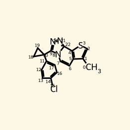 Cc1csc2c1ccn1c(C3(c4ccc(Cl)cc4)CC3)nnc21